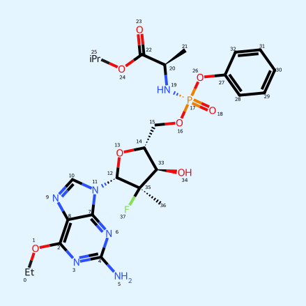 CCOc1nc(N)nc2c1ncn2[C@@H]1O[C@H](CO[P@@](=O)(N[C@H](C)C(=O)OC(C)C)Oc2ccccc2)[C@@H](O)[C@@]1(C)F